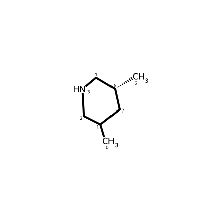 CC1CNC[C@H](C)C1